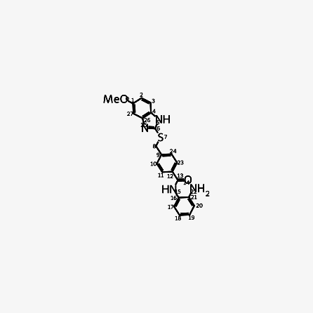 COc1ccc2[nH]c(SCc3ccc(C(=O)Nc4ccccc4N)cc3)nc2c1